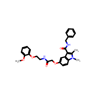 COc1ccccc1OCCNC(=O)COc1ccc2c(c1)c(C(=O)NCc1ccccc1)c(C)n2C